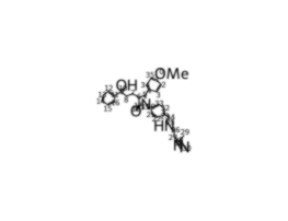 COc1ccc(C2C(CCC(O)c3ccccc3)C(=O)N2c2ccc(CNCCC3(C)N=N3)cc2)cc1